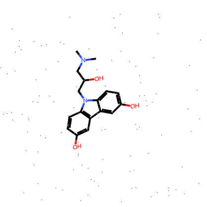 CN(C)CC(O)Cn1c2ccc(O)cc2c2cc(O)ccc21